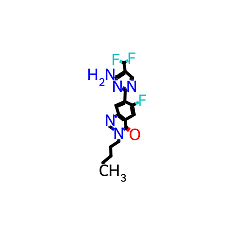 CCCCCn1cnc2cc(-c3ncc(C(F)F)c(N)n3)c(F)cc2c1=O